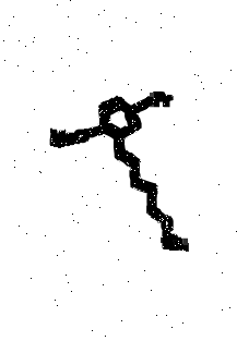 COc1ccc(C(C)C)cc1CCCCCOC(C)(C)C